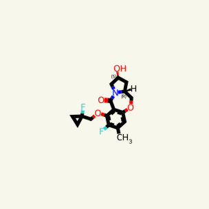 Cc1cc2c(c(OCC3(F)CC3)c1F)C(=O)N1C[C@@H](O)C[C@@H]1CO2